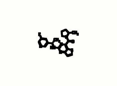 C[C@H](Nc1nc(C(=O)N2CCC[C@H]2C)c2sccc2n1)c1cncc(F)c1